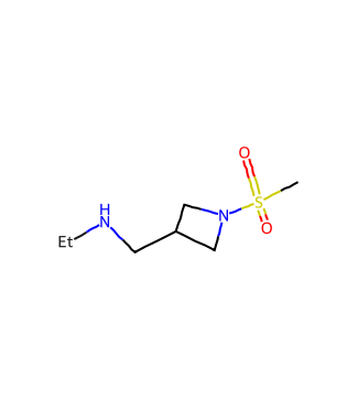 CCNCC1CN(S(C)(=O)=O)C1